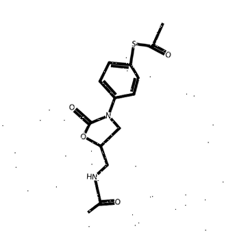 CC(=O)NCC1CN(c2ccc(SC(C)=O)cc2)C(=O)O1